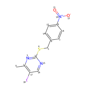 Cc1nc(SCc2ccc([N+](=O)[O-])cc2)ncc1I